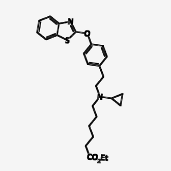 CCOC(=O)CCCCCN(CCc1ccc(Oc2nc3ccccc3s2)cc1)C1CC1